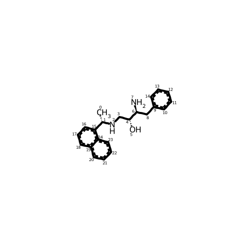 C[C@H](NC[C@@H](O)[C@@H](N)Cc1ccccc1)c1cccc2ccccc12